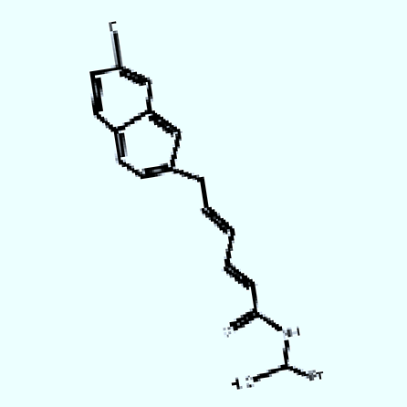 CC(C)C(C)NC(=O)/C=C/C=C/Cc1ccc2ccc(F)cc2c1